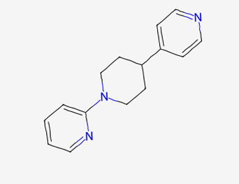 c1ccc(N2CCC(c3ccncc3)CC2)nc1